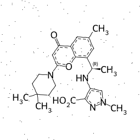 Cc1cc([C@@H](C)Nc2cn(C)nc2C(=O)O)c2oc(N3CCC(C)(C)CC3)cc(=O)c2c1